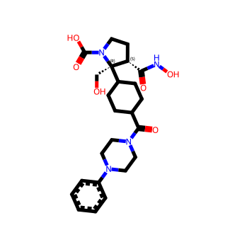 O=C(NO)[C@H]1CCN(C(=O)O)[C@]1(CO)C1CCC(C(=O)N2CCN(c3ccccc3)CC2)CC1